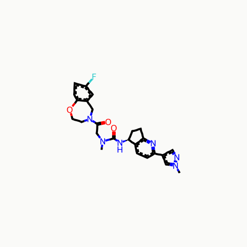 CN(CC(=O)N1CCOc2ccc(F)cc2C1)C(=O)N[C@H]1CCc2nc(-c3cnn(C)c3)ccc21